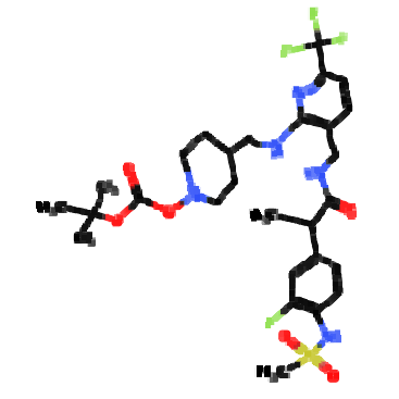 CC(C(=O)NCc1ccc(C(F)(F)F)nc1NCC1CCN(OC(=O)OC(C)(C)C)CC1)c1ccc(NS(C)(=O)=O)c(F)c1